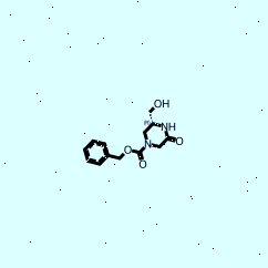 O=C1CN(C(=O)OCc2ccccc2)C[C@H](CO)N1